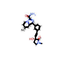 CN1CC[C@@](O)(C#Cc2cccc(-c3nc(C(N)=O)n4ccc(C#N)cc34)c2)C1=O